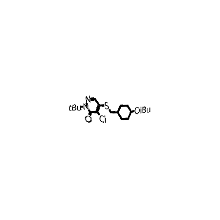 CC(C)COC1CCC(CSc2cnn(C(C)(C)C)c(=O)c2Cl)CC1